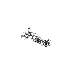 O=C1CCCN1CC1(O)CCN(S(=O)(=O)c2ccc(-c3c[nH]c4cc(F)ccc34)cc2)C1